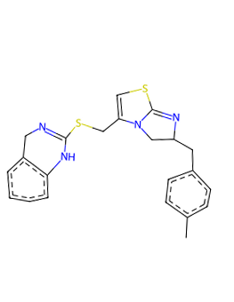 Cc1ccc(CC2CN3C(CSC4=NCc5ccccc5N4)=CSC3=N2)cc1